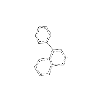 [c]1cc(-c2ccccc2)c2ccccc2c1